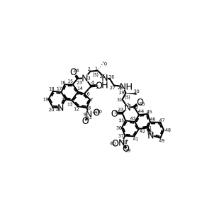 C[C@@H](CN1C(=O)c2cc([N+](=O)[O-])cc3c2c(cc2cccnc23)C1=O)NCCN[C@@H](C)CN1C(=O)c2cc([N+](=O)[O-])cc3c2c(cc2cccnc23)C1=O